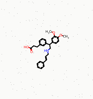 COc1ccc(C(CNCC=Cc2ccccc2)c2cccc(CCC(=O)O)c2)cc1OC